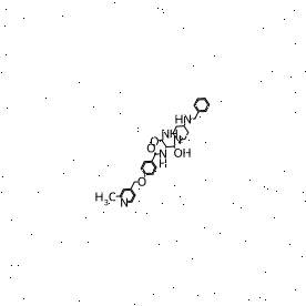 Cc1cc(COc2ccc(C(=O)N[C@H](C(N)=O)C(O)N3CCC(NCc4ccccc4)CC3)cc2)ccn1